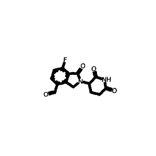 O=Cc1ccc(F)c2c1CN(C1CCC(=O)NC1=O)C2=O